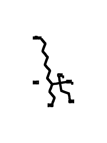 CCCCCCCCCCCCCCCCC(CCO)C(C)(N)CCO.Cl